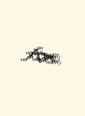 CN[C@H](CON/C(=C(\C)OC)c1nc(C(=O)N[C@@H]2c3nc(cs3)C(=O)N[C@H](c3nc(-c4nc(-c5nc(CNCCO)cs5)c(O)cc4-c4nc(CO)cs4)cs3)COC(=O)c3c4c5c(cccc5n3O)COC(=O)[C@@H](O)[C@H]2OC4)cs1)[C@@H](C)O